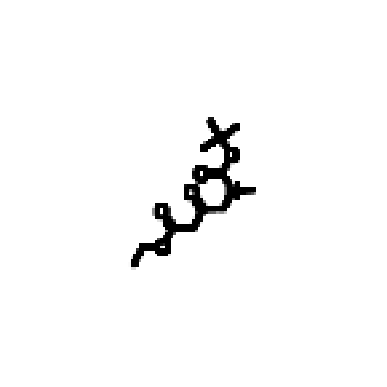 CCOC(=O)CC(=O)CN(C)C(=O)OC(C)(C)C